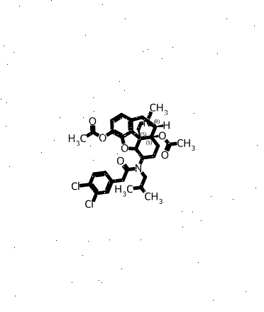 CC(=O)Oc1ccc2c3c1OC1C(N(CC(C)C)C(=O)Cc4ccc(Cl)c(Cl)c4)CC[C@@]4(OC(C)=O)[C@@H](C2)N(C)CC[C@]314